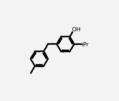 Cc1ccc(Cc2ccc(C(C)C)c(O)c2)cc1